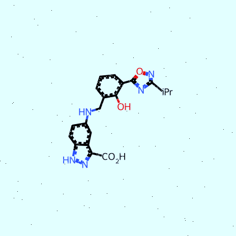 CC(C)c1noc(-c2cccc(CNc3ccc4[nH]nc(C(=O)O)c4c3)c2O)n1